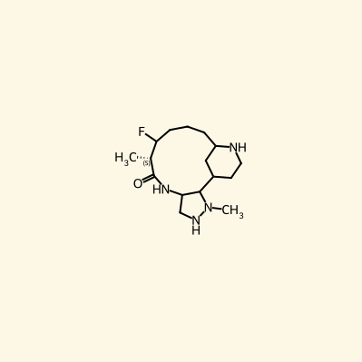 C[C@H]1C(=O)NC2CNN(C)C2C2CCNC(CCCC1F)C2